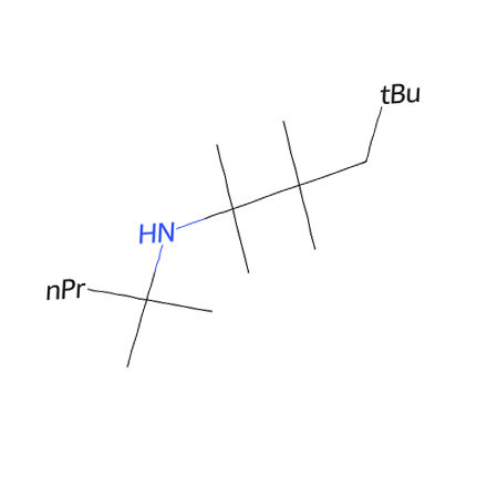 CCCC(C)(C)NC(C)(C)C(C)(C)CC(C)(C)C